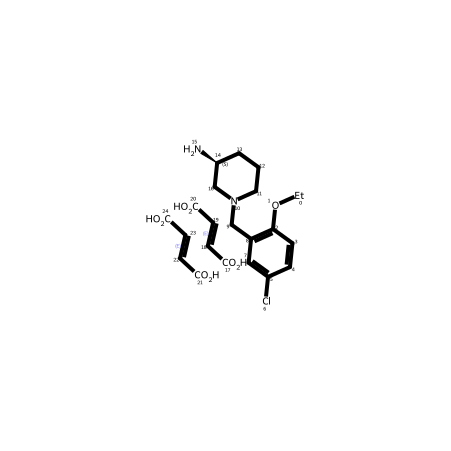 CCOc1ccc(Cl)cc1CN1CCC[C@H](N)C1.O=C(O)/C=C/C(=O)O.O=C(O)/C=C/C(=O)O